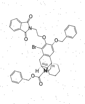 O=C1c2ccccc2C(=O)N1CCOc1c(OCc2ccccc2)cc2c(c1Br)C[C@H]1[C@H]3CCCC[C@@]23CCN1C(=O)OCc1ccccc1